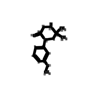 COc1cccc(N2CC(C)(C)NCC2=O)c1